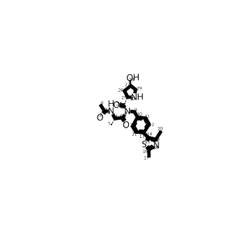 CC(=O)N[C@@H](C)C(=O)N(Cc1ccc(-c2sc(C)nc2C)cc1)C(=O)[C@@H]1C[C@@H](O)CN1